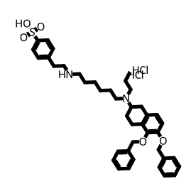 CCCN(CCCCCCNCCc1ccc(S(=O)(=O)O)cc1)C1CCc2c(ccc(OCc3ccccc3)c2OCc2ccccc2)C1.Cl.Cl